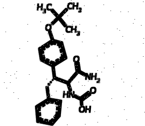 CC(C)(C)Oc1ccc([C@@H](Cc2ccccc2)C(NC(=O)O)C(N)=O)cc1